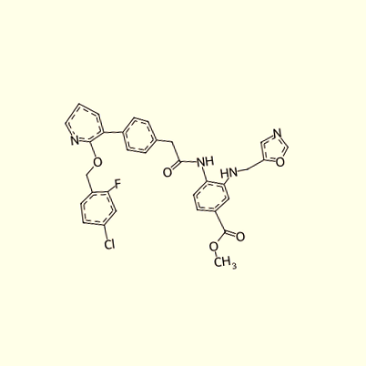 COC(=O)c1ccc(NC(=O)Cc2ccc(-c3cccnc3OCc3ccc(Cl)cc3F)cc2)c(NCc2cnco2)c1